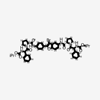 CC(C)OC(=O)NC(C(=O)N1CCC[C@H]1C(=O)Nc1ccc(-c2oc3ccc(NC(=O)[C@@H]4CCCN4C(=O)C(NC(=O)OC(C)C)c4ccccc4)cc3c2Br)cc1)c1ccccc1